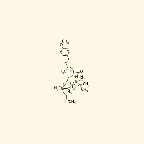 CCCC[Si](C)(C)OCCC1/C(=C\C(C)OCc2ccc(OC)cc2)C(=O)N1[Si](C)(C)C(C)(C)C